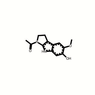 COc1cc2c3c([nH]c2cc1O)N(C(C)=O)CC3